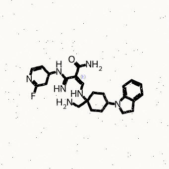 N=C(NC1C=CN=C(F)C1)/C(=C\NC1(CN)CCC(N2CCc3ccccc32)CC1)C(N)=O